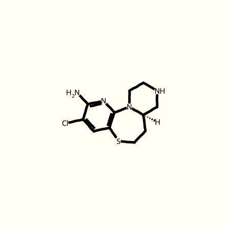 Nc1nc2c(cc1Cl)SCC[C@@H]1CNCCN21